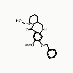 COc1cc2c(cc1OCc1ccccc1)NCC1CCC[C@@H](CO)N1C2=O